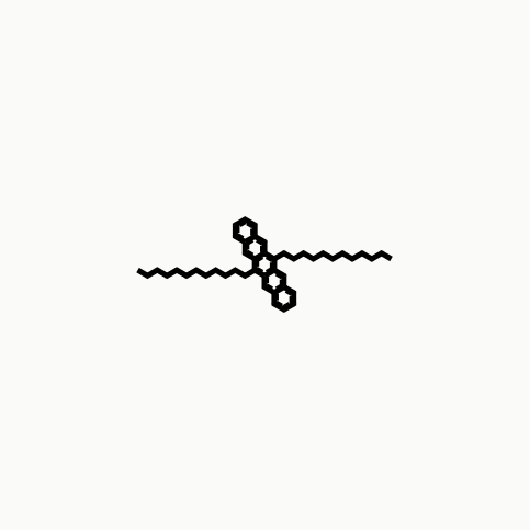 CCCCCCCCCCCCc1c2cc3ccccc3cc2c(CCCCCCCCCCCC)c2cc3ccccc3cc12